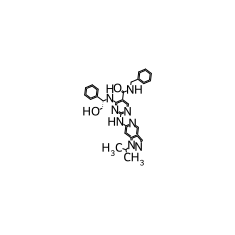 CC(C)n1ncc2cnc(Nc3ncc(C(=O)NCc4ccccc4)c(N[C@H](CO)c4ccccc4)n3)cc21